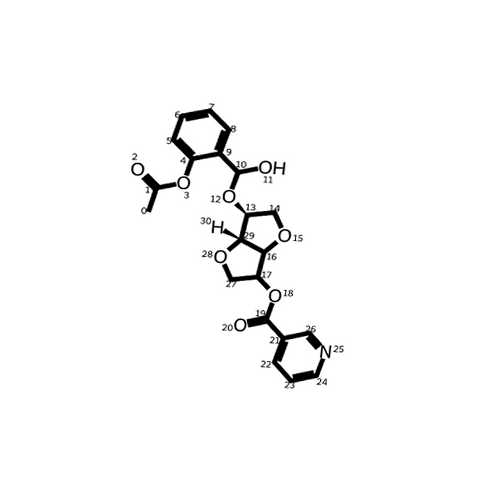 CC(=O)Oc1ccccc1C(O)O[C@H]1COC2C(OC(=O)c3cccnc3)CO[C@@H]21